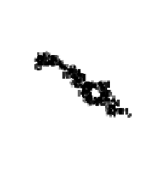 Nc1ncnc2c1ncn2[C@@H]1O[C@@H]2CO[P@@](=O)(S)O[C@H]3[C@@H](F)[C@H](n4cnc5c(NC(=O)OCCCn6cc(CN7C(=O)C=CC7=O)nn6)ncnc54)O[C@@H]3CO[P@@](=O)(S)O[C@H]2[C@H]1F